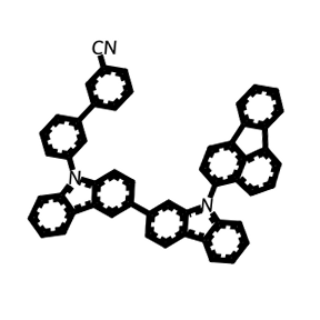 N#Cc1cccc(-c2cccc(-n3c4ccccc4c4cc(-c5ccc6c7ccccc7n(-c7ccc8c9c(cccc79)-c7ccccc7-8)c6c5)ccc43)c2)c1